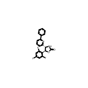 O=C1N[C@@H](c2cccc(-c3ccccc3)n2)[C@H](c2c(F)cc(F)cc2F)O1